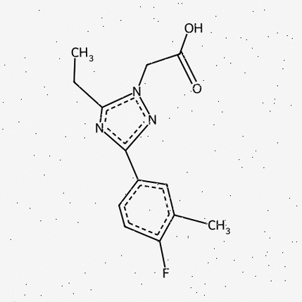 CCc1nc(-c2ccc(F)c(C)c2)nn1CC(=O)O